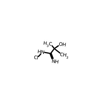 CC(C)(O)C(=N)NCl